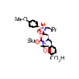 COc1ccc(S(=O)(=O)N(CC[C@H](Cc2ccc(C(=O)O)cc2)N(C(=O)OC(C)(C)C)C(C)(C)O)CC(C)C)cc1